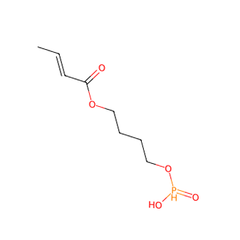 CC=CC(=O)OCCCCO[PH](=O)O